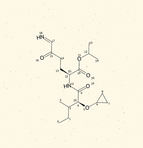 CCC(C)[C@H](OC1CC1)C(=O)N[C@@H](CCC(=O)C=N)C(=O)OC(C)C